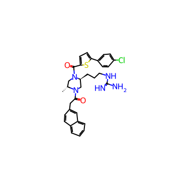 C[C@@H]1CN(C(=O)c2ccc(-c3ccc(Cl)cc3)s2)[C@@H](CCCNC(=N)N)CN1C(=O)Cc1ccc2ccccc2c1